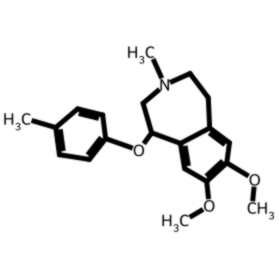 COc1cc2c(cc1OC)C(Oc1ccc(C)cc1)CN(C)CC2